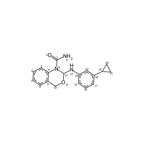 NC(=O)N1c2cc[c]cc2COC1Nc1cccc(C2CC2)c1